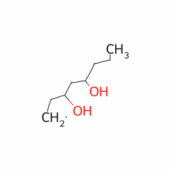 [CH2]CC(O)CC(O)CCC